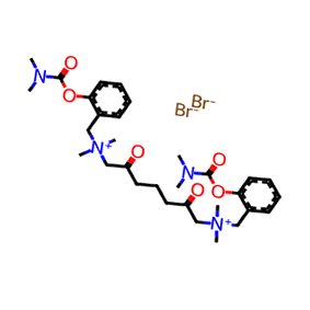 CN(C)C(=O)Oc1ccccc1C[N+](C)(C)CC(=O)CCCC(=O)C[N+](C)(C)Cc1ccccc1OC(=O)N(C)C.[Br-].[Br-]